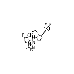 Cc1nnc2nc(N3CCCCc4c(C#CC(C)(C)C(F)(F)F)cccc43)c3c(Cl)c(F)ccc3n12